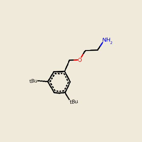 CC(C)(C)c1cc(COCCN)cc(C(C)(C)C)c1